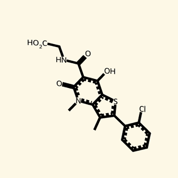 Cc1c(-c2ccccc2Cl)sc2c(O)c(C(=O)NCC(=O)O)c(=O)n(C)c12